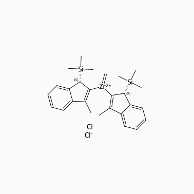 [CH2]=[Zr+2]([C]1=C(C)c2ccccc2[C@@H]1[Si](C)(C)C)[C]1=C(C)c2ccccc2[C@H]1[Si](C)(C)C.[Cl-].[Cl-]